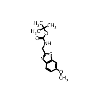 COc1ccc2nc(CNC(=O)OC(C)(C)C)sc2c1